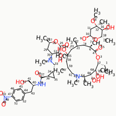 CC[C@H]1OC(=O)[C@H](C)[C@@H](O[C@H]2C[C@@](C)(OC)[C@@H](O)[C@H](C)O2)[C@H](C)[C@@H](O[C@@H]2O[C@H](C)C[C@H](N(C)C[C@@H]3C[C@H]3C(=O)N[C@H](CO)Cc3ccc([N+](=O)[O-])cc3)[C@H]2O)[C@](C)(O)C[C@@H](C)CN(C)[C@H](C)[C@@H](O)[C@]1(C)O